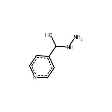 NNC(O)c1ccncc1